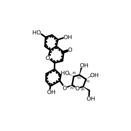 O=c1cc(-c2ccc(O)c(O[C@@H]3O[C@H](CO)[C@@H](O)[C@H](O)[C@H]3O)c2)oc2cc(O)cc(O)c12